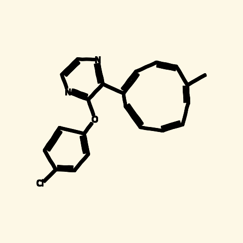 Cc1cccccc(-c2nccnc2Oc2ccc(Cl)cc2)ccc1